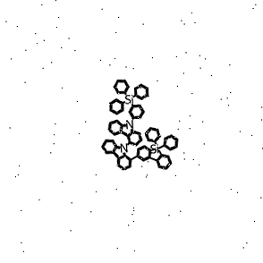 c1ccc([Si](c2ccccc2)(c2ccccc2)c2cccc(-n3c4ccccc4c4c(-n5c6ccccc6c6cccc(-c7ccc8c(c7)-c7ccccc7[Si]8(c7ccccc7)c7ccccc7)c65)cccc43)c2)cc1